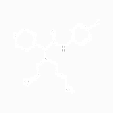 C=CCN(C/C=C/C)C(C(=O)Nc1ccc(I)cc1)C1=CCOCC1